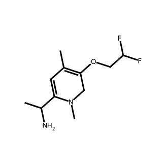 CC1=C(OCC(F)F)CN(C)C(C(C)N)=C1